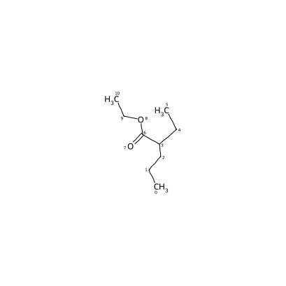 CCCC(CC)C(=O)OCC